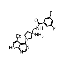 CCc1c[nH]c2ncnc(N3CC[C@](N)(CNC(=O)c4cc(F)cc(F)c4)C3)c12